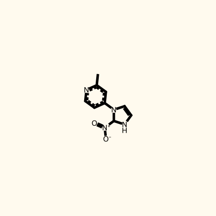 Cc1cc(N2C=CNC2[N+](=O)[O-])ccn1